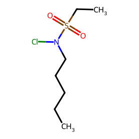 CCCCCN(Cl)S(=O)(=O)CC